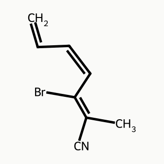 C=C/C=C\C(Br)=C(/C)C#N